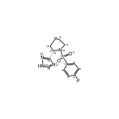 O=S(=O)(c1ccc(F)cc1)N1CCCC[C@H]1c1nc[nH]n1